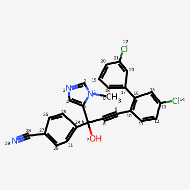 Cn1cncc1C(O)(C#Cc1ccc(Cl)cc1-c1cccc(Cl)c1)c1ccc(C#N)cc1